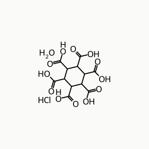 Cl.O.O=C(O)C1C(C(=O)O)C(C(=O)O)C(C(=O)O)C(C(=O)O)C1C(=O)O